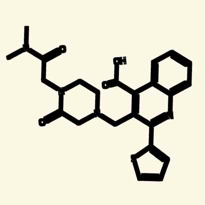 CN(C)C(=O)CN1CCN(Cc2c(-c3cccs3)nc3ccccc3c2C(=O)O)CC1=O